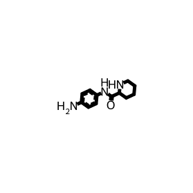 Nc1ccc(NC(=O)C2CCCCN2)cc1